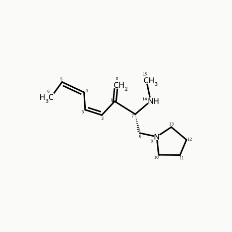 C=C(/C=C\C=C/C)[C@@H](CN1CCCC1)NC